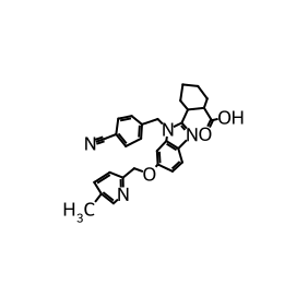 Cc1ccc(COc2ccc3nc(C4CCCCC4C(=O)O)n(Cc4ccc(C#N)cc4)c3c2)nc1